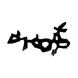 Cn1nccc1NC(=O)c1cc2ccc(-c3nn(C(C)(C)C)c4ncnc(N)c34)cc2[nH]1